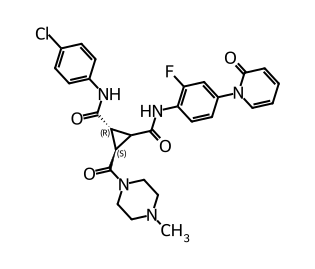 CN1CCN(C(=O)[C@@H]2C(C(=O)Nc3ccc(-n4ccccc4=O)cc3F)[C@H]2C(=O)Nc2ccc(Cl)cc2)CC1